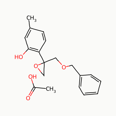 CC(=O)O.Cc1ccc(C2(COCc3ccccc3)CO2)c(O)c1